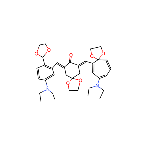 CCN(CC)C1=CC=CC2(OCCO2)C(/C=C2\CC3(C/C(=C\c4cc(N(CC)CC)ccc4C4OCCO4)C2=O)OCCO3)=C1